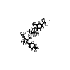 COC(=O)c1ccc(N2C[C@@H]3C[C@H]2C[C@H]3OCc2c(C3CCC4(CC3)CC4)noc2C2CC2)c(F)c1